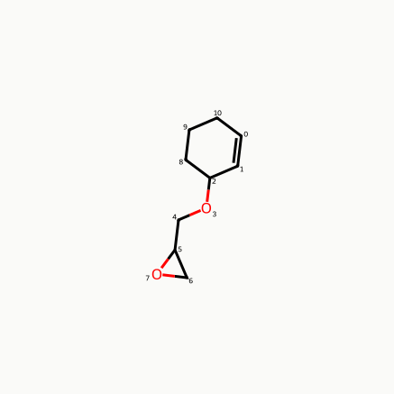 C1=CC(OCC2CO2)CCC1